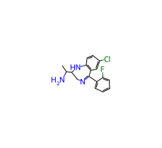 CC(N)C1CN=C(c2ccccc2F)c2cc(Cl)ccc2N1